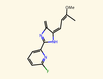 C=c1nc(-c2cccc(F)n2)[nH]/c1=C/C=C(\C)OC